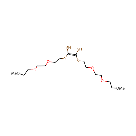 COCCOCCOCCS/C(S)=C(/S)SCCOCCOCCOC